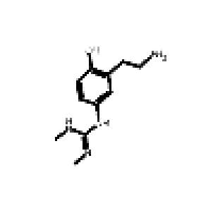 C/N=C(\NC)Nc1ccc(O)c(CCP)c1